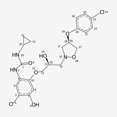 O=C(Nc1cc(Cl)c(O)cc1OC[C@@H](O)CN1C[C@@H](Oc2ccc(Cl)cc2)CO1)NC1CC1